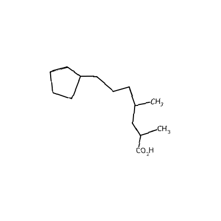 CC(CCCC1CCCC1)CC(C)C(=O)O